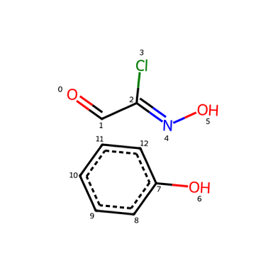 O=CC(Cl)=NO.Oc1ccccc1